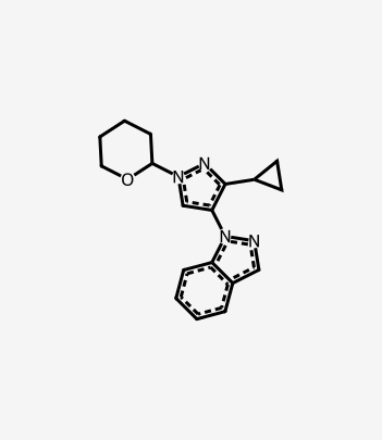 c1ccc2c(c1)cnn2-c1cn(C2CCCCO2)nc1C1CC1